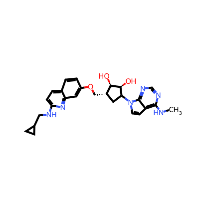 CNc1ncnc2c1ccn2C1C[C@H](COc2ccc3ccc(NCC4CC4)nc3c2)[C@@H](O)[C@H]1O